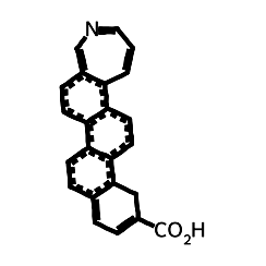 O=C(O)C1=CC=c2ccc3c(ccc4c5c(ccc43)=CN=CC=C5)c2C1